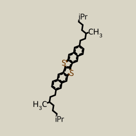 CC(C)CCCC(C)CCc1ccc2cc3c(cc2c1)sc1c2cc4ccc(CCC(C)CCCC(C)C)cc4cc2sc31